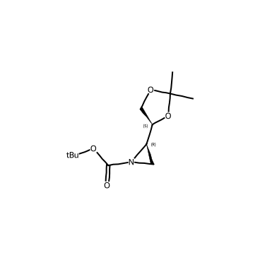 CC(C)(C)OC(=O)N1C[C@@H]1[C@H]1COC(C)(C)O1